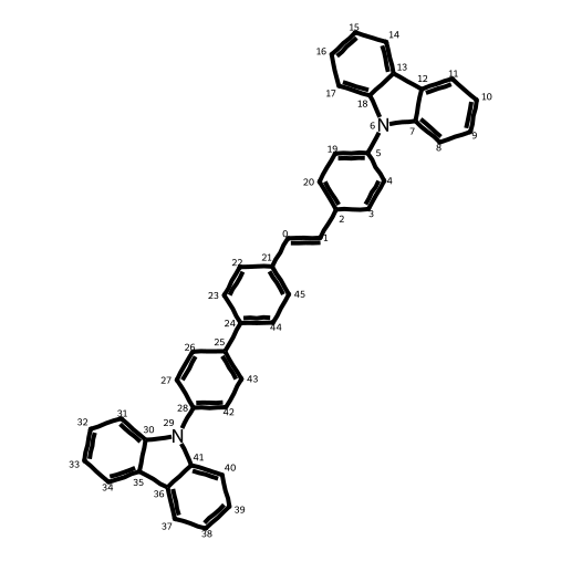 C(=C\c1ccc(-n2c3ccccc3c3ccccc32)cc1)/c1ccc(-c2ccc(-n3c4ccccc4c4ccccc43)cc2)cc1